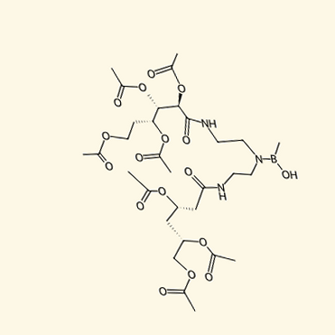 CB(O)N(CCNC(=O)C[C@H](C[C@@H](COC(C)=O)OC(C)=O)OC(C)=O)CCNC(=O)[C@H](OC(C)=O)[C@@H](OC(C)=O)[C@@H](CCOC(C)=O)OC(C)=O